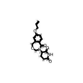 C=CCOc1ccc2c(c1)COCN(C1CCC(=O)NC1=O)C2=O